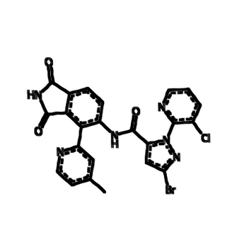 Cc1ccnc(-c2c(NC(=O)c3cc(Br)nn3-c3ncccc3Cl)ccc3c2C(=O)NC3=O)c1